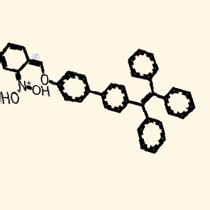 O[N+](O)=C1C=CC=C/C1=C/Oc1ccc(-c2ccc(C(=C(c3ccccc3)c3ccccc3)c3ccccc3)cc2)cc1